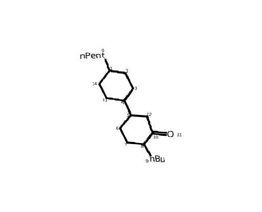 CCCCCC1CCC(C2CCC(CCCC)C(=O)C2)CC1